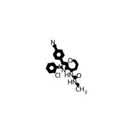 CCNC(=O)NC1CCCOc2c1nn(-c1ccccc1Cl)c2-c1ccc(C#N)cc1